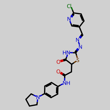 O=C(CC1S/C(=N/N=C/c2ccc(Cl)nc2)NC1=O)Nc1ccc(N2CCCC2)cc1